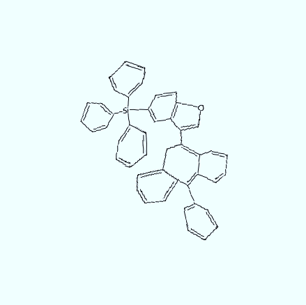 c1ccc(C2=c3ccccc3=C(c3coc4ccc([Si](c5ccccc5)(c5ccccc5)c5ccccc5)cc34)Cc3ccccc32)cc1